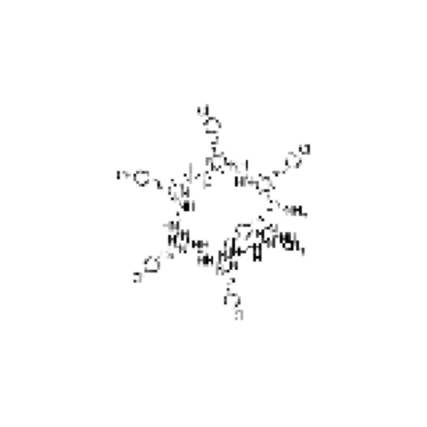 CNc1nc(NCCNc2nc(NCCNc3nc(NCCNc4nc(NCCNc5nc(NCCNc6nc(NCCN)nc(SCc7ccc(Cl)cc7)n6)nc(SCc6ccc(Cl)cc6)n5)nc(SCc5ccc(Cl)cc5)n4)nc(SCc4ccc(Cl)cc4)n3)nc(SCc3ccc(Cl)cc3)n2)nc(SCc2ccc(Cl)cc2)n1